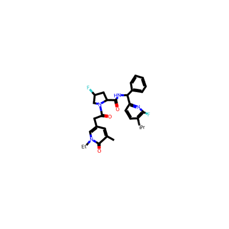 CCn1cc(CC(=O)N2CC(F)CC2C(=O)NC(c2ccccc2)c2ccc(C(C)C)c(F)n2)cc(C)c1=O